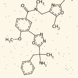 COc1ccc(C(=O)N(C)Cc2nc(C)oc2C)cc1-c1nnc(C(C)(N)Cc2ccccc2)o1